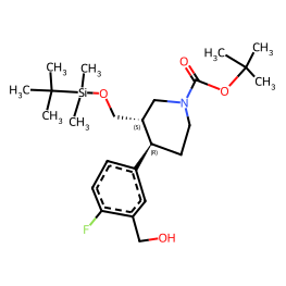 CC(C)(C)OC(=O)N1CC[C@@H](c2ccc(F)c(CO)c2)[C@H](CO[Si](C)(C)C(C)(C)C)C1